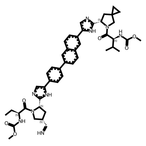 CC[C@H](NC(=O)OC)C(=O)N1C[C@@H](C=N)C[C@H]1c1ncc(-c2ccc(-c3ccc4cc(-c5cnc([C@@H]6CC7(CC7)CN6C(=O)[C@@H](NC(=O)OC)C(C)C)[nH]5)ccc4c3)cc2)[nH]1